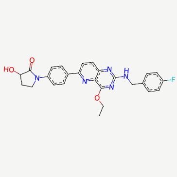 CCOc1nc(NCc2ccc(F)cc2)nc2ccc(-c3ccc(N4CCC(O)C4=O)cc3)nc12